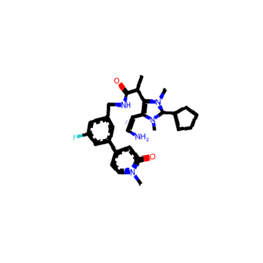 CC(C(=O)NCc1cc(F)cc(-c2ccn(C)c(=O)c2)c1)C1=C(/C=C\N)N(C)C(C2CCCC2)N1C